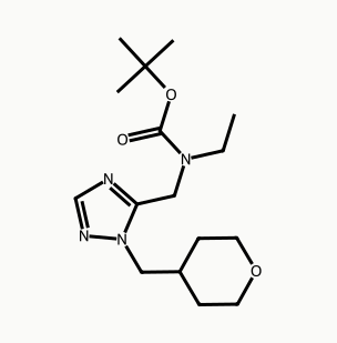 CCN(Cc1ncnn1CC1CCOCC1)C(=O)OC(C)(C)C